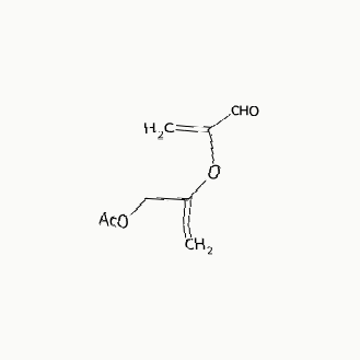 C=C(C=O)OC(=C)COC(C)=O